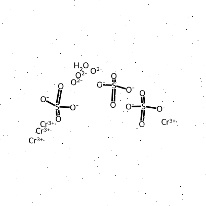 O.O=S(=O)([O-])[O-].O=S(=O)([O-])[O-].O=S(=O)([O-])[O-].[Cr+3].[Cr+3].[Cr+3].[Cr+3].[O-2].[O-2].[O-2]